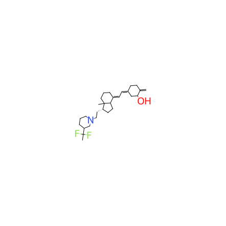 C=C1CC/C(=C/C=C2\CCCC3(C)C2CC[C@@H]3CCN2CCCC(C(C)(F)F)C2)CC1O